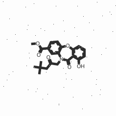 COC(=O)c1ccc2c(c1)N(CC(=O)CC(C)(C)C)C(=O)c1c(O)cccc1O2